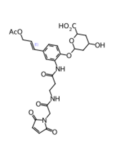 CC(=O)OC/C=C/c1ccc(OC2CC(O)CC(C(=O)O)O2)c(NC(=O)CCNC(=O)CN2C(=O)C=CC2=O)c1